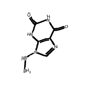 BBn1cnc2c(=O)[nH]c(=O)[nH]c21